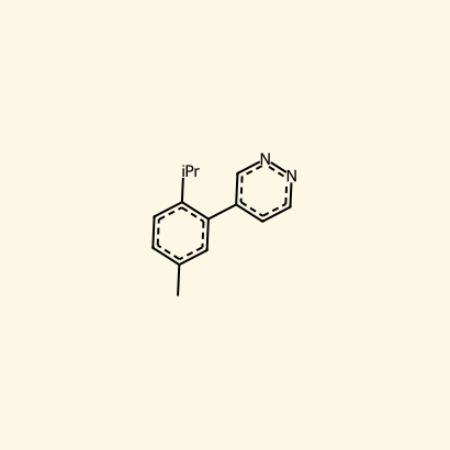 Cc1ccc(C(C)C)c(-c2ccnnc2)c1